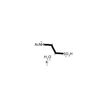 CC(=O)NCCS(=O)(=O)O.O.[K]